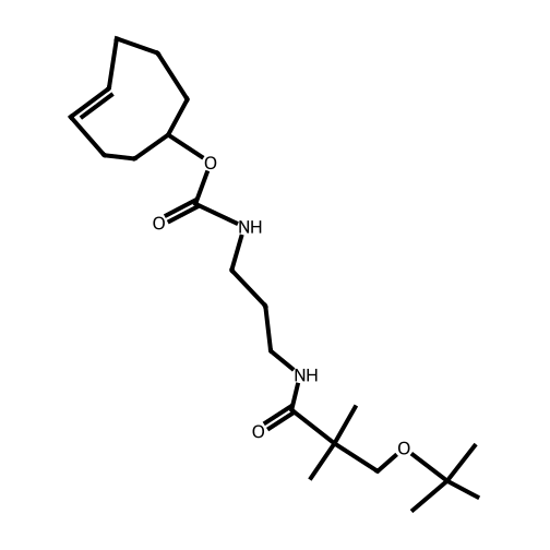 CC(C)(C)OCC(C)(C)C(=O)NCCCNC(=O)OC1CC/C=C/CCC1